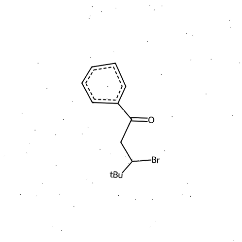 CC(C)(C)C(Br)CC(=O)c1ccccc1